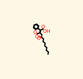 CCCCCCCCC(=O)CC(C(=O)O)=C(C(=O)O)c1ccccc1